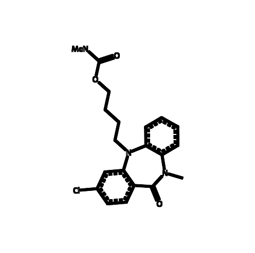 CNC(=O)OCCCCN1c2cc(Cl)ccc2C(=O)N(C)c2ccccc21